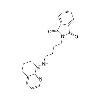 O=C1c2ccccc2C(=O)N1CCCCN[C@H]1CCCc2cccnc21